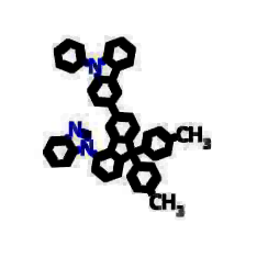 Cc1ccc(C2(c3ccc(C)cc3)c3ccc(-c4ccc5c(c4)c4ccccc4n5-c4ccccc4)cc3-c3c(-n4cnc5ccccc54)cccc32)cc1